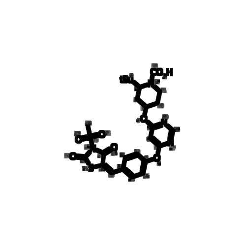 CC(C)(C)C1CC(Oc2cc(Oc3ccc(C=C4SC(=O)N(S(C)(=O)=O)C4=O)cc3)ncn2)CCN1C(=O)O